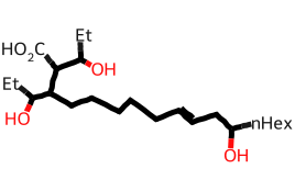 CCCCCCC(O)C/C=C/CCCCCC(C(O)CC)C(C(=O)O)C(O)CC